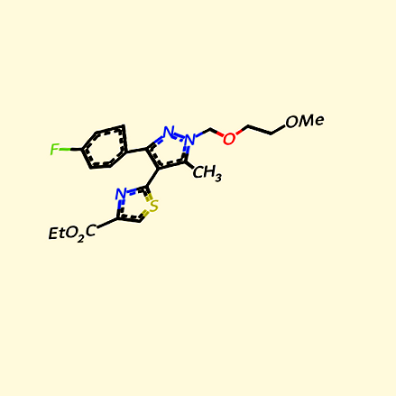 CCOC(=O)c1csc(-c2c(-c3ccc(F)cc3)nn(COCCOC)c2C)n1